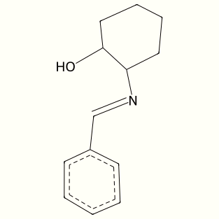 OC1CCCCC1/N=C/c1ccccc1